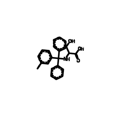 Cc1cccc(C(NC(CO)C(=O)O)(c2ccccc2)c2ccccc2)c1